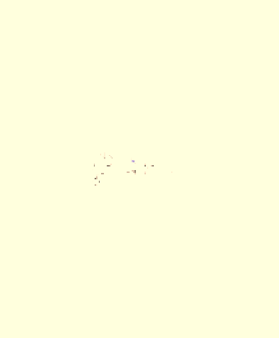 C/C=C1\CN(CCCCCCC)CC[C@H]1CCCc1ccnc2ccc(O)cc12